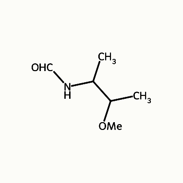 COC(C)C(C)NC=O